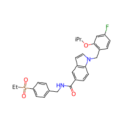 CCS(=O)(=O)c1ccc(CNC(=O)c2ccc3c(ccn3Cc3ccc(F)cc3OC(C)C)c2)cc1